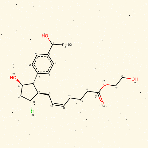 CCCCCCC(O)c1ccc([C@@H]2[C@@H](C/C=C\CCCC(=O)OCCO)[C@H](Cl)C[C@H]2O)cc1